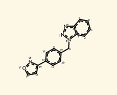 c1ccc2c(c1)nnn2Cc1ccc(-c2ccon2)cc1